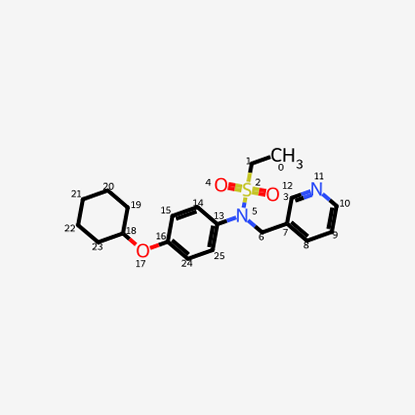 CCS(=O)(=O)N(Cc1cccnc1)c1ccc(OC2CCCCC2)cc1